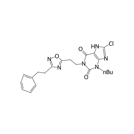 CCCCn1c(=O)n(CCc2nc(CCc3ccccc3)no2)c(=O)c2[nH]c(Cl)nc21